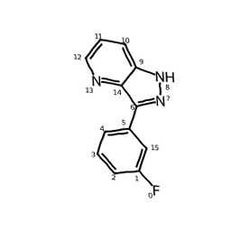 Fc1cccc(-c2n[nH]c3cccnc23)c1